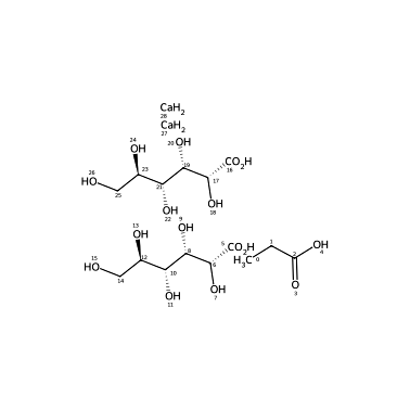 CCC(=O)O.O=C(O)[C@H](O)[C@@H](O)[C@H](O)[C@H](O)CO.O=C(O)[C@H](O)[C@@H](O)[C@H](O)[C@H](O)CO.[CaH2].[CaH2]